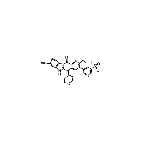 C#Cc1ccc2c(c1)[nH]c1c2c(=O)c2cc(CC)c(-c3cncc(S(=O)(=O)F)c3)cc2n1C1CCOCC1